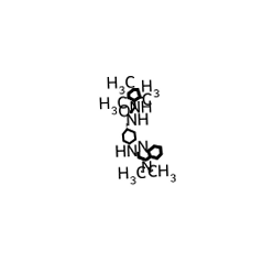 Cc1cc(C)c(NC(=O)NC[C@H]2CC[C@@H](Nc3cc(N(C)C)c4ccccc4n3)CC2)c(C)c1